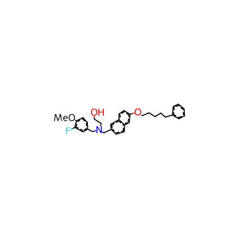 COc1ccc(CN(CCO)Cc2ccc3cc(OCCCCCc4ccccc4)ccc3c2)cc1F